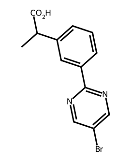 CC(C(=O)O)c1cccc(-c2ncc(Br)cn2)c1